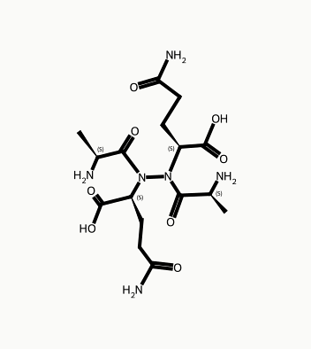 C[C@H](N)C(=O)N([C@@H](CCC(N)=O)C(=O)O)N(C(=O)[C@H](C)N)[C@@H](CCC(N)=O)C(=O)O